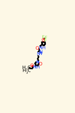 CC(C)CC(=O)Nc1ccn(CCCCn2cc(C(=O)NCc3cccc(OC(F)(F)F)c3)nn2)c(=O)c1